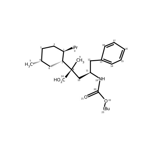 CC(C)[C@@H]1CC[C@@H](C)C[C@H]1[C@](C)(C[C@@H](Cc1ccccc1)NC(=O)OC(C)(C)C)C(=O)O